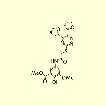 COC(=O)c1cc(NC(=O)CSc2nnc(-c3ccco3)c(-c3ccco3)n2)cc(OC)c1O